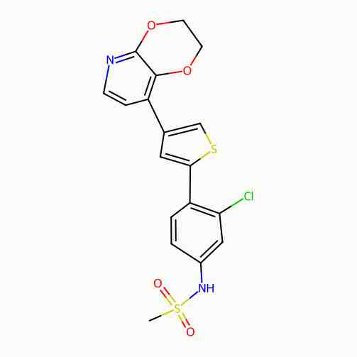 CS(=O)(=O)Nc1ccc(-c2cc(-c3ccnc4c3OCCO4)cs2)c(Cl)c1